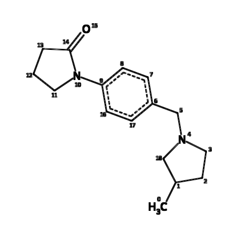 CC1CCN(Cc2ccc(N3CCCC3=O)cc2)C1